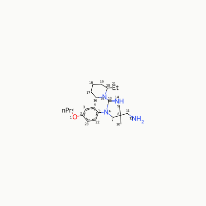 CCCOc1ccc(N(CC(C)(C)CN)C(=N)N2CCCCC2CC)cc1